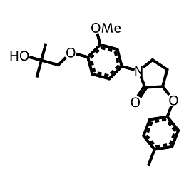 COc1cc(N2CCC(Oc3ccc(C)cc3)C2=O)ccc1OCC(C)(C)O